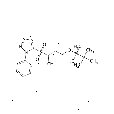 CC(CCO[Si](C)(C)C(C)(C)C)S(=O)(=O)c1nnnn1-c1ccccc1